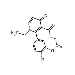 CCOC(=O)c1c(-c2ccc(Cl)c(Cl)c2)n(CC)ccc1=O